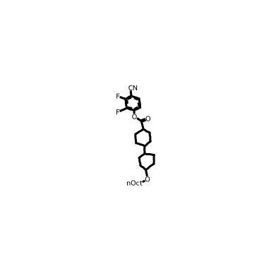 CCCCCCCCOC1CCC(C2CCC(C(=O)Oc3ccc(C#N)c(F)c3F)CC2)CC1